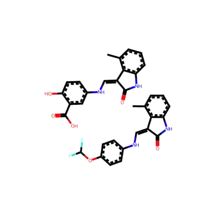 Cc1cccc2c1C(=CNc1ccc(O)c(C(=O)O)c1)C(=O)N2.Cc1cccc2c1C(=CNc1ccc(OC(F)F)cc1)C(=O)N2